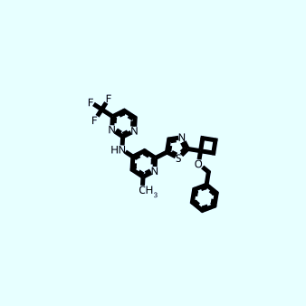 Cc1cc(Nc2nccc(C(F)(F)F)n2)cc(-c2cnc(C3(OCc4ccccc4)CCC3)s2)n1